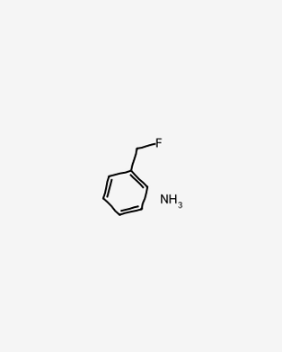 FCc1ccccc1.N